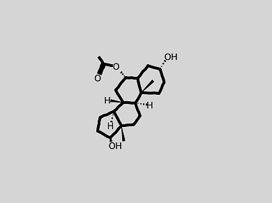 CC(=O)O[C@H]1C[C@H]2[C@@H]3CC[C@H](O)[C@@]3(C)CC[C@@H]2[C@@]2(C)CC[C@@H](O)CC12